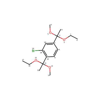 CCOC(C)(OC)c1ccc(C(C)(OC)OCC)c(Br)c1